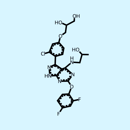 CC(O)CNc1nc(Oc2ccc(F)cc2F)nc2[nH]nc(-c3ccc(OCC(O)CO)cc3Cl)c12